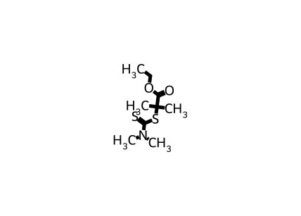 CCOC(=O)C(C)(C)SC(=S)N(C)C